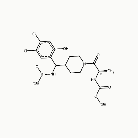 C[C@@H](NC(=O)OC(C)(C)C)C(=O)N1CCC(C(N[S+]([O-])C(C)(C)C)c2cc(Cl)c(Cl)cc2O)CC1